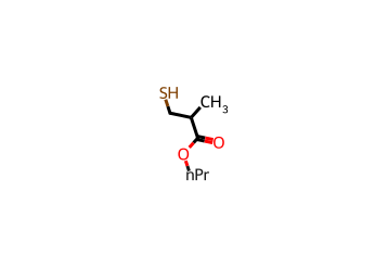 CCCOC(=O)C(C)CS